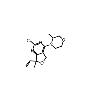 C=CC1(C)OCc2c(N3CCOCC3C)nc(Cl)nc21